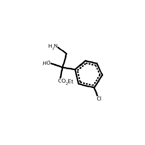 CCOC(=O)C(O)(CN)c1cccc(Cl)c1